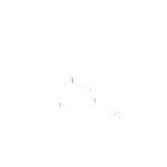 CC(C)n1cc(-c2ccc(CNc3ccc(F)c(NC(=O)CCc4ccco4)c3)cc2)cn1